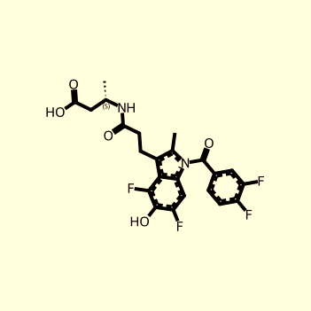 Cc1c(CCC(=O)N[C@@H](C)CC(=O)O)c2c(F)c(O)c(F)cc2n1C(=O)c1ccc(F)c(F)c1